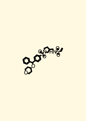 C=CS(=O)(=O)NCC1CCN(S(=O)(=O)c2ccc(C(OC3CCOCC3)c3ccccc3)cc2)C1